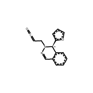 O=C=CCN1N=Cc2ccccc2[C@@H]1c1ccco1